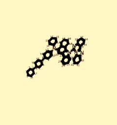 c1ccc(-c2ccc(-c3ccc(N(c4ccccc4)c4cc5c6ccccc6n(-c6nc7ccccc7c7nc8ccccc8n67)c5c5ccccc45)cc3)cc2)cc1